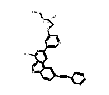 CC[C@H](COc1cncc(-c2cc3c(cnc4ccc(C#Cc5ccccc5)cc43)c(N)n2)c1)NC(=O)O